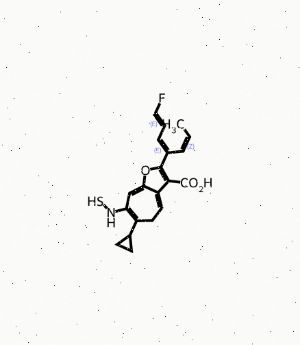 C\C=C/C(=C\C=C\F)c1oc2c(c1C(=O)O)=CCC(C1CC1)=C(NS)C=2